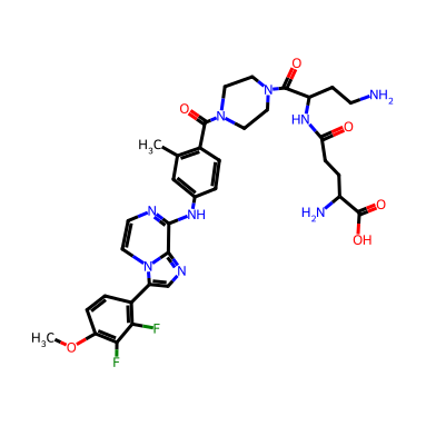 COc1ccc(-c2cnc3c(Nc4ccc(C(=O)N5CCN(C(=O)C(CCN)NC(=O)CCC(N)C(=O)O)CC5)c(C)c4)nccn23)c(F)c1F